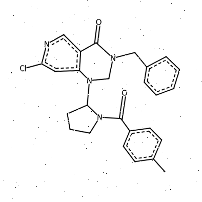 Cc1ccc(C(=O)N2CCCC2N2CN(Cc3ccccc3)C(=O)c3cnc(Cl)cc32)cc1